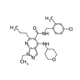 CCCc1nc2c(cnn2CC)c(NC2CCOCC2)c1C(=O)NCc1ccc(Cl)cc1C